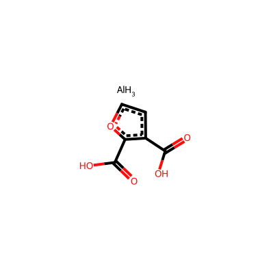 O=C(O)c1ccoc1C(=O)O.[AlH3]